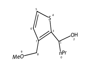 CCCC(O)c1sccc1COC